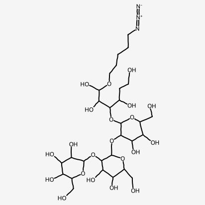 [N-]=[N+]=NCCCCCOC(O)C(O)C(OC1OC(CO)C(O)C(O)C1OC1OC(CO)C(O)C(O)C1OC1OC(CO)C(O)C(O)C1O)C(O)CCO